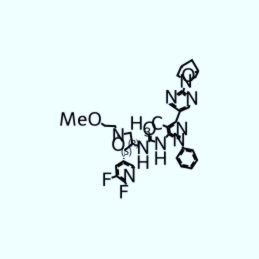 COCCN1C[C@@H](NC(=O)Nc2c(C)c(-c3cnc(N4CC5CC(C4)O5)nc3)nn2-c2ccccc2)[C@H](c2cnc(F)c(F)c2)O1